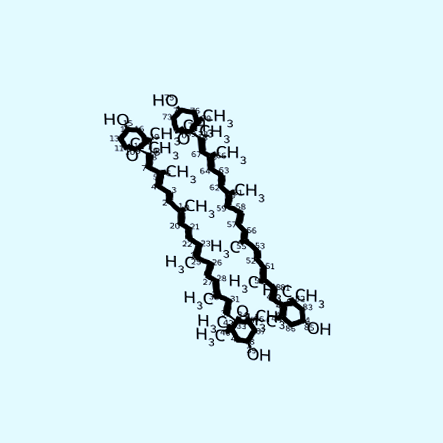 CC(/C=C/C=C(C)/C=C/[C@@]12O[C@]1(C)C[C@@H](O)CC2(C)C)=C\C=C\C=C(C)\C=C\C=C(C)\C=C\[C@@]12O[C@]1(C)C[C@@H](O)CC2(C)C.CC1=C(/C=C/C(C)=C/C=C/C(C)=C/C=C/C=C(C)/C=C/C=C(C)/C=C/[C@@]23O[C@]2(C)C[C@@H](O)CC3(C)C)C(C)(C)C[C@H](O)C1